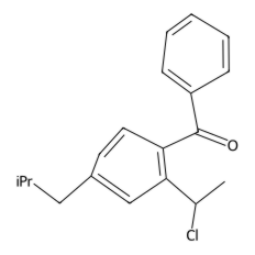 CC(C)Cc1ccc(C(=O)c2ccccc2)c(C(C)Cl)c1